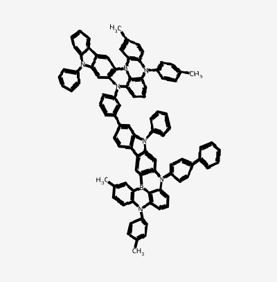 Cc1ccc(N2c3ccc(C)cc3B3c4cc5c6ccccc6n(-c6ccccc6)c5cc4N(c4cccc(-c5ccc6c7cc8c(cc7n(-c7ccccc7)c6c5)N(c5ccc(-c6ccccc6)cc5)c5cccc6c5B8c5cc(C)ccc5N6c5ccc(C)cc5)c4)c4cccc2c43)cc1